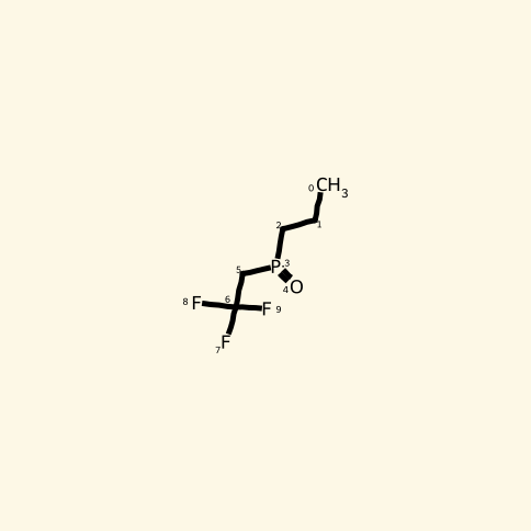 CCC[P](=O)CC(F)(F)F